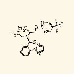 CCN(C(=O)c1ccccc1-n1nccn1)[C@@H](C)COc1ncc(C(F)(F)F)cn1